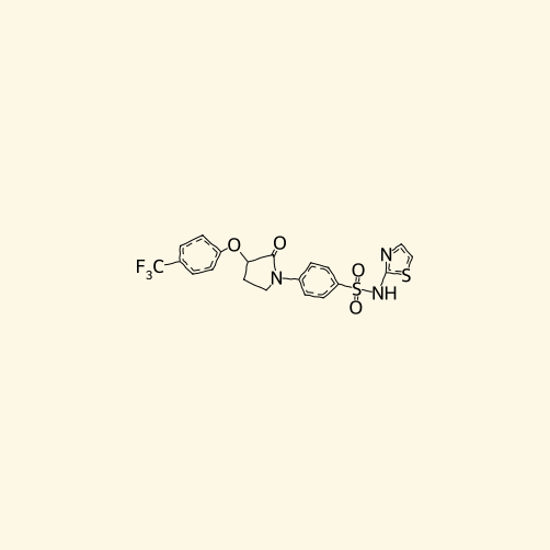 O=C1C(Oc2ccc(C(F)(F)F)cc2)CCN1c1ccc(S(=O)(=O)Nc2nccs2)cc1